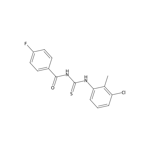 Cc1c(Cl)cccc1NC(=S)NC(=O)c1ccc(F)cc1